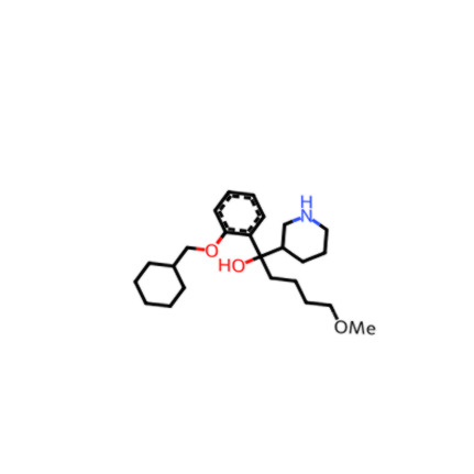 COCCCCC(O)(c1ccccc1OCC1CCCCC1)C1CCCNC1